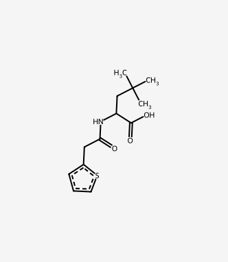 CC(C)(C)CC(NC(=O)Cc1cccs1)C(=O)O